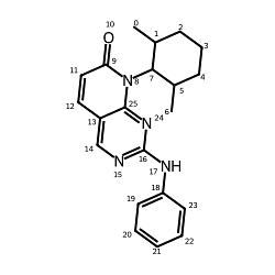 CC1CCCC(C)C1n1c(=O)ccc2cnc(Nc3ccccc3)nc21